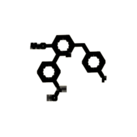 COc1ccc(Cc2ccc(F)cc2)nc1-c1cccc(NO)c1